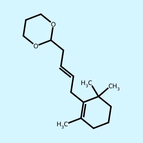 CC1=C(C/C=C/CC2OCCCO2)C(C)(C)CCC1